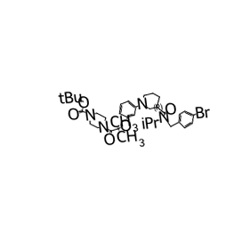 CC(C)N(Cc1ccc(Br)cc1)C(=O)[C@@H]1CCCN(c2cccc(OC(C)(C)C(=O)N3CCN(C(=O)OC(C)(C)C)CC3)c2)C1